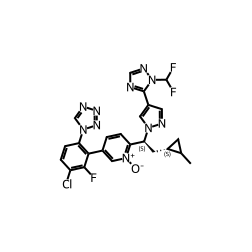 CC1C[C@H]1C[C@@H](c1ccc(-c2c(-n3cnnn3)ccc(Cl)c2F)c[n+]1[O-])n1cc(-c2ncnn2C(F)F)cn1